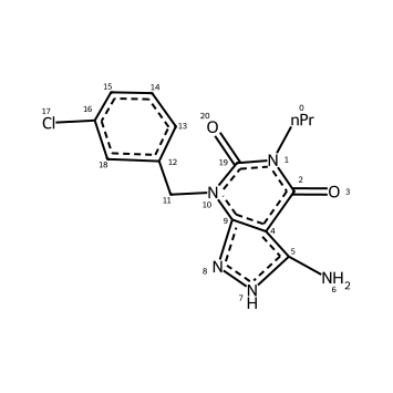 CCCn1c(=O)c2c(N)[nH]nc2n(Cc2cccc(Cl)c2)c1=O